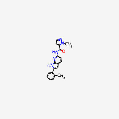 Cc1ccccc1-c1cc2ccc(NC(=O)c3ccnn3C)nc2[nH]1